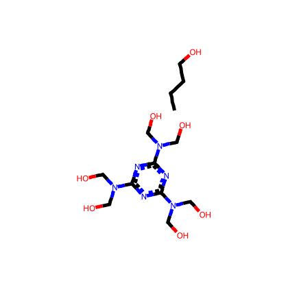 CCCCO.OCN(CO)c1nc(N(CO)CO)nc(N(CO)CO)n1